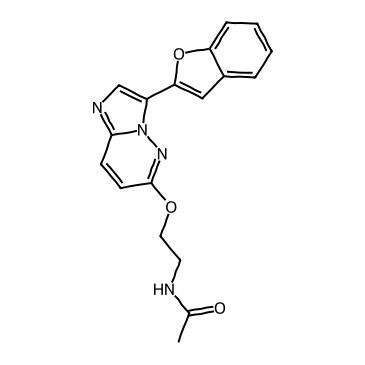 CC(=O)NCCOc1ccc2ncc(-c3cc4ccccc4o3)n2n1